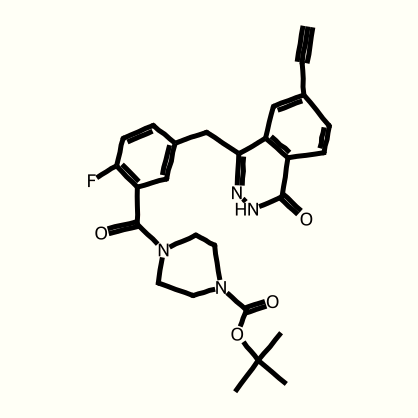 C#Cc1ccc2c(=O)[nH]nc(Cc3ccc(F)c(C(=O)N4CCN(C(=O)OC(C)(C)C)CC4)c3)c2c1